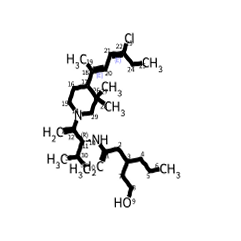 C=C(CC(CCC)CCO)N[C@@H](C(=C)N1CCC(/C(C)=C/C=C(/Cl)CC)C(C)(C)C1)C(C)C